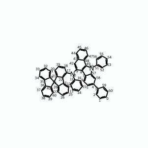 c1ccc(-c2ccc3c4c(N(c5ccccc5)c5cccc6c5-c5ccccc5C65c6ccccc6-c6ccccc65)cc5ccccc5c4n(-c4ccccc4)c3c2)cc1